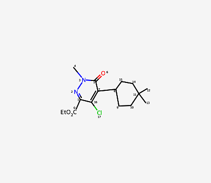 CCOC(=O)c1nn(C)c(=O)c(C2CCC(C)(C)CC2)c1Cl